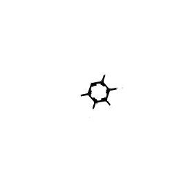 CCOC(=O)c1cc(Br)c(O)c(N)c1C(F)(F)F